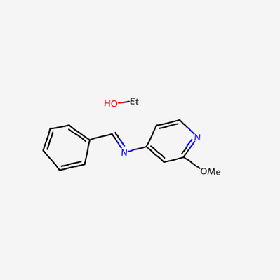 CCO.COc1cc(N=Cc2ccccc2)ccn1